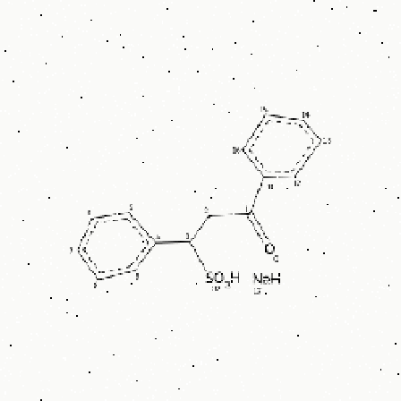 O=C(CC(c1ccccc1)S(=O)(=O)O)c1ccccc1.[NaH]